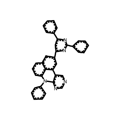 c1ccc(-c2cc(-c3cc4c5c(cccc5c3)N(c3ccccc3)c3ncncc3-4)nc(-c3ccccc3)n2)cc1